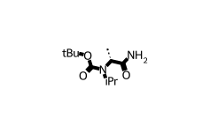 CC(C)N(C(=O)OC(C)(C)C)[C@H](C)C(N)=O